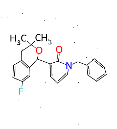 CC1(C)Cc2ccc(F)cc2C(c2cccn(Cc3ccccc3)c2=O)O1